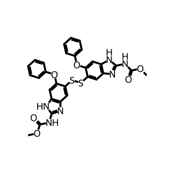 COC(=O)Nc1nc2cc(SSc3cc4nc(NC(=O)OC)[nH]c4cc3Oc3ccccc3)c(Oc3ccccc3)cc2[nH]1